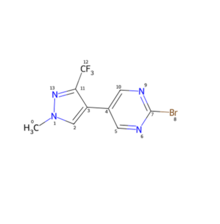 Cn1cc(-c2cnc(Br)nc2)c(C(F)(F)F)n1